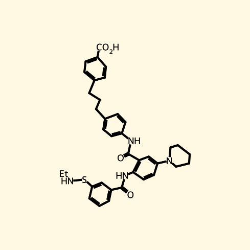 CCNSc1cccc(C(=O)Nc2ccc(N3CCCCC3)cc2C(=O)Nc2ccc(CCCc3ccc(C(=O)O)cc3)cc2)c1